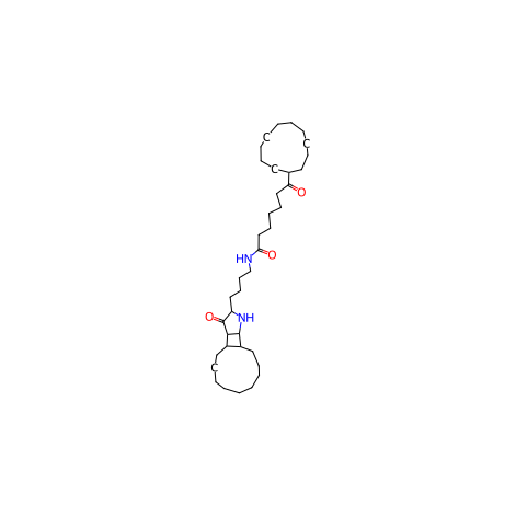 O=C(CCCCCC(=O)C1CCCCCCCCCC1)NCCCCC1NC2C3CCCCCCCCCC3C2C1=O